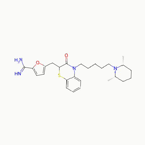 C[C@@H]1CCC[C@H](C)N1CCCCCN1C(=O)C(Cc2ccc(C(=N)N)o2)Sc2ccccc21